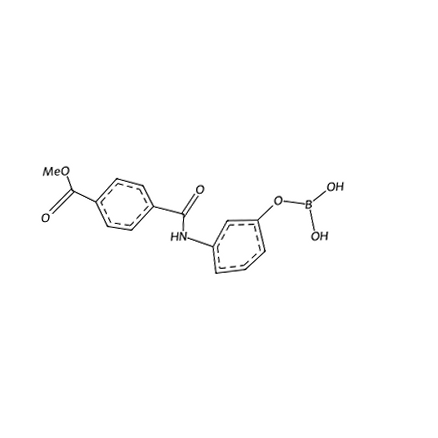 COC(=O)c1ccc(C(=O)Nc2cccc(OB(O)O)c2)cc1